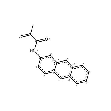 C=C(C)C(=O)Nc1ccc2cc3ccccc3cc2c1